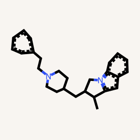 CC1c2cc3ccccc3n2CC1CC1CCN(CCc2ccccc2)CC1